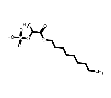 CCCCCCCCCOC(=O)C(C)OS(=O)(=O)O